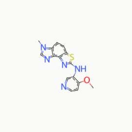 COc1ccncc1Nc1nc2c(ccc3c2ncn3C)s1